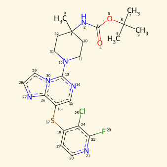 CC1(NC(=O)OC(C)(C)C)CCN(c2ncc(Sc3ccnc(F)c3Cl)c3nccn23)CC1